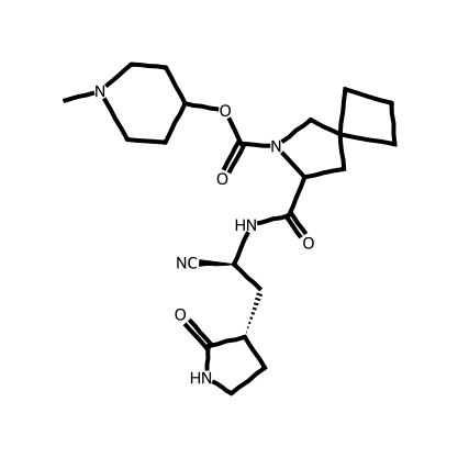 CN1CCC(OC(=O)N2CC3(CCC3)CC2C(=O)N[C@H](C#N)C[C@@H]2CCNC2=O)CC1